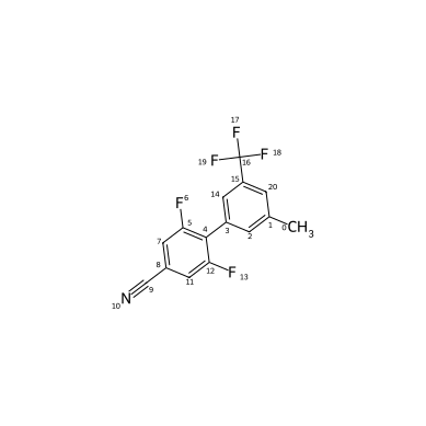 Cc1cc(-c2c(F)cc(C#N)cc2F)cc(C(F)(F)F)c1